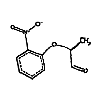 CC(C=O)Oc1ccccc1[N+](=O)[O-]